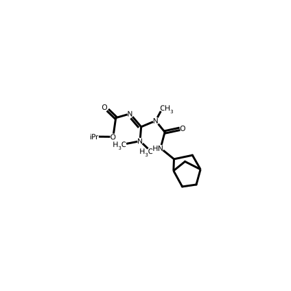 CC(C)OC(=O)N=C(N(C)C)N(C)C(=O)NC1CC2CCC1C2